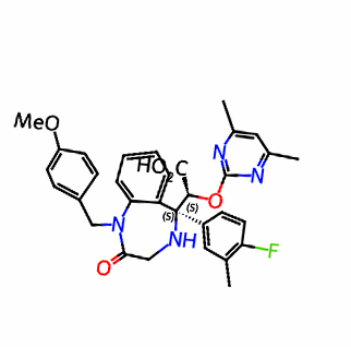 COc1ccc(CN2C(=O)CN[C@](c3ccc(F)c(C)c3)([C@H](Oc3nc(C)cc(C)n3)C(=O)O)c3ccccc32)cc1